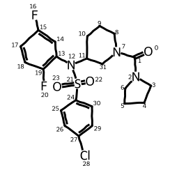 O=C(N1CCCC1)N1CCCC(N(c2cc(F)ccc2F)S(=O)(=O)c2ccc(Cl)cc2)C1